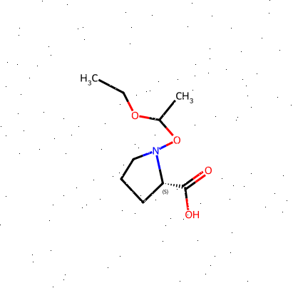 CCOC(C)ON1CCC[C@H]1C(=O)O